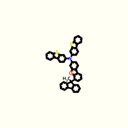 CC1(c2cccc3c2oc2cc(N(c4ccc5c(c4)sc4ccccc45)c4ccc5c(c4)sc4ccccc45)ccc23)c2ccccc2-c2ccccc21